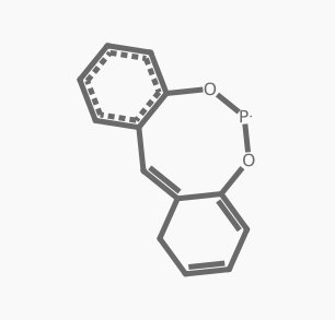 C1=CC/C2=C/c3ccccc3O[P]OC2=C1